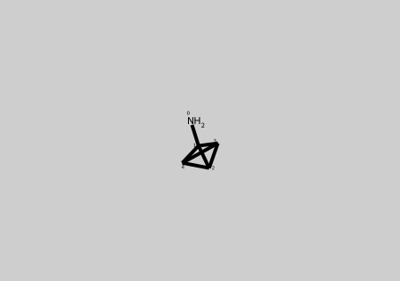 NC12C3C1C32